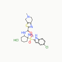 CN1CCc2nc(C(=O)NC3CCCCC3(N)S(=O)(=O)c3cc4cc(Cl)ccc4[nH]3)sc2C1.Cl